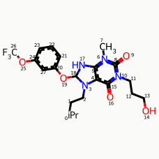 CC(C)CCN1c2c(n(C)c(=O)n(CCCO)c2=O)NC1Oc1cccc(OC(F)(F)F)c1